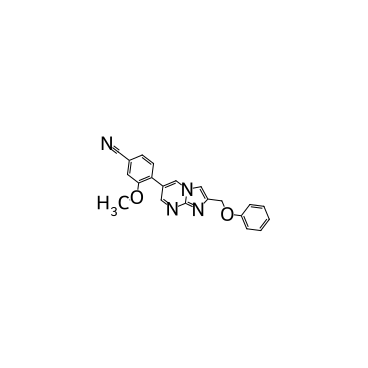 COc1cc(C#N)ccc1-c1cnc2nc(COc3ccccc3)cn2c1